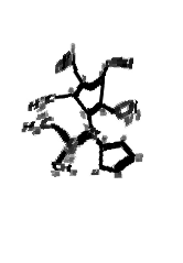 CCCCC1=C(CCCC)C(C)[C]([Zr]([C]2=CC=CC2)=[Si](C)C)=C1C